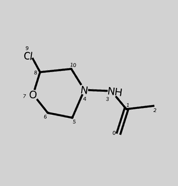 C=C(C)NN1CCOC(Cl)C1